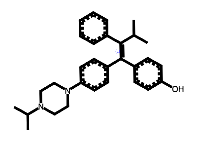 CC(C)/C(=C(\c1ccc(O)cc1)c1ccc(N2CCN(C(C)C)CC2)cc1)c1ccccc1